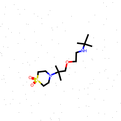 CC(C)(C)NCCOCC(C)(C)N1CCS(=O)(=O)CC1